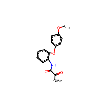 COC(=O)C(=O)Nc1ccccc1Oc1ccc(OC(F)(F)F)cc1